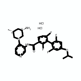 CC(C)Oc1cc(F)c(-c2c(F)ccc(C(=O)Nc3cnccc3N3C[C@H](C)C[C@H](N)C3)c2F)c(F)c1.Cl.Cl